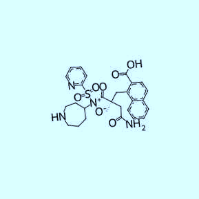 C[C@@](CC(N)=O)(Cc1c(C(=O)O)ccc2ccccc12)C(=O)[N+]([O-])(C1CCCNCC1)S(=O)(=O)c1ccccn1